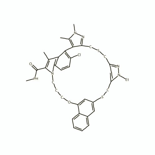 CCn1nc2cc1CSc1cc(c3ccccc3c1)OCCCn1c(C(=O)PC)c(C)c3c(c(Cl)ccc31)-c1c(nn(C)c1C)CSC2